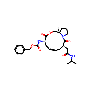 CC(C)NC(=O)C[C@H]1C/C=C\C[C@@H](NC(=O)OCc2ccccc2)C(=O)OC[C@@H]2CCCN2C1=O